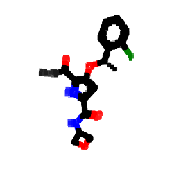 CNC(=O)c1[nH]c(C(=O)NC2COC2)cc1O[C@@H](C)c1ccccc1F